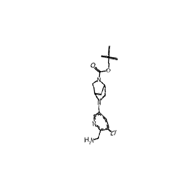 CC(C)(C)OC(=O)N1CC2CC1CN2c1cnc(CN)c(Cl)c1